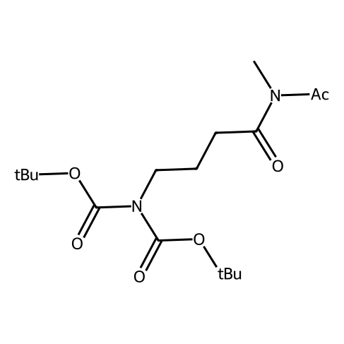 CC(=O)N(C)C(=O)CCCN(C(=O)OC(C)(C)C)C(=O)OC(C)(C)C